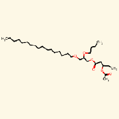 CCCCCCCCCCCCCCCCCOCC(COC(=O)CC(CC)OC(C)=O)OCCCC